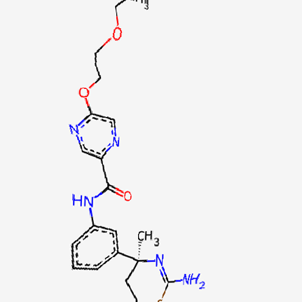 CCOCCOc1cnc(C(=O)Nc2cccc([C@]3(C)CCSC(N)=N3)c2)cn1